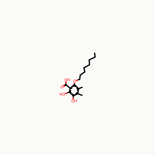 CCCCCCCCOc1c(C)c(C)c(O)c(O)c1C(=O)O